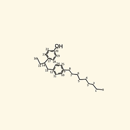 CCCCCCCCCc1ccc(CC(CC)c2ccc(O)cc2)cc1